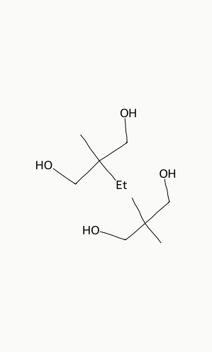 CC(C)(CO)CO.CCC(C)(CO)CO